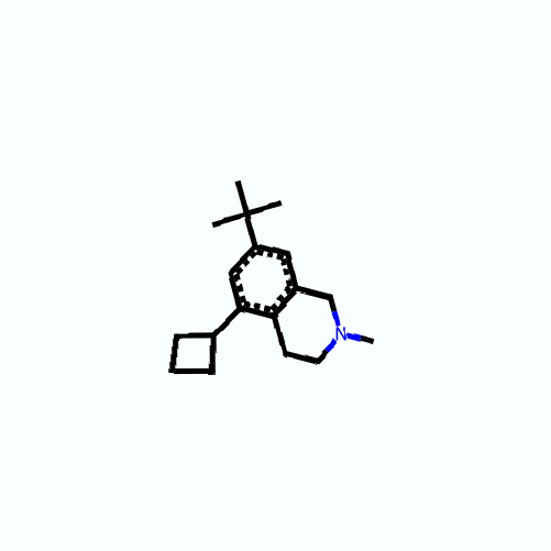 CN1CCc2c(cc(C(C)(C)C)cc2C2CCC2)C1